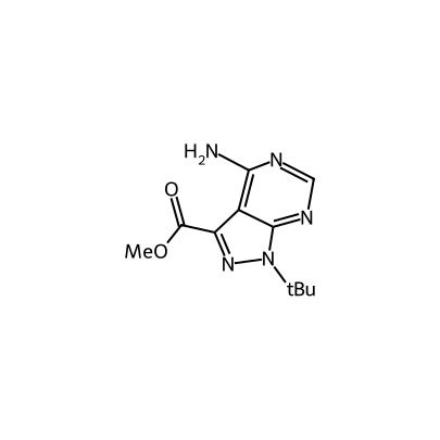 COC(=O)c1nn(C(C)(C)C)c2ncnc(N)c12